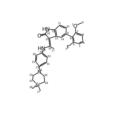 COc1cccc(F)c1-c1ccc2c(c1)/C(=C(\C)Nc1ccc(N3CC[Si](C)(C)CC3)cc1)C(=O)N2